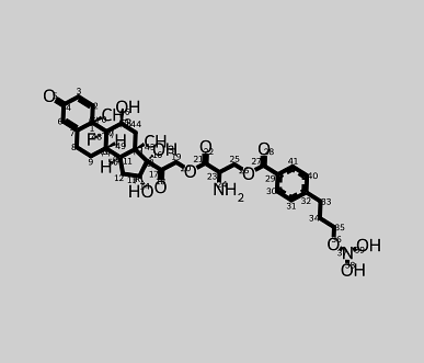 C[C@]12C=CC(=O)C=C1CC[C@H]1[C@@H]3C[C@@H](O)[C@](O)(C(=O)COC(=O)C(N)COC(=O)c4ccc(CCCON(O)O)cc4)[C@@]3(C)C[C@H](O)[C@@]12F